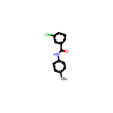 CC(C)(C)c1ccc(NC(=O)c2cccc(Cl)c2)cc1